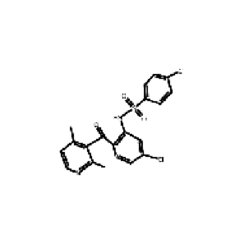 Cc1ccnc(C)c1C(=O)c1ncc(Cl)cc1NS(=O)(=O)c1ccc(Cl)cc1